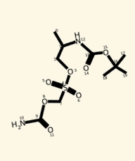 CC(COS(=O)(=O)COC(N)=O)NC(=O)OC(C)(C)C